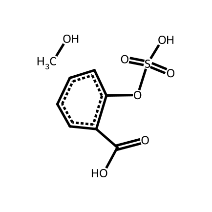 CO.O=C(O)c1ccccc1OS(=O)(=O)O